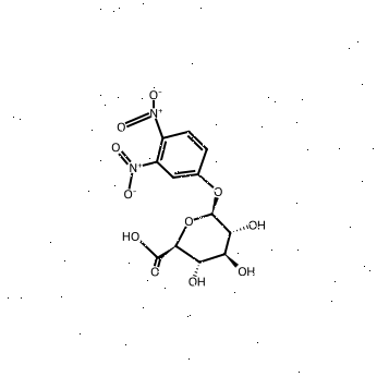 O=C(O)[C@H]1O[C@@H](Oc2ccc([N+](=O)[O-])c([N+](=O)[O-])c2)[C@H](O)[C@@H](O)[C@@H]1O